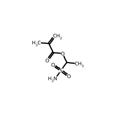 C=C(C)C(=O)OC(C)S(N)(=O)=O